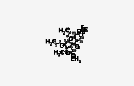 C=CCOc1cc(OCC=C)c(C(=O)c2ccc(OC(F)(F)F)cc2)c(CC(=O)OC)c1CC